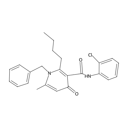 CCCCc1c(C(=O)Nc2ccccc2Cl)c(=O)cc(C)n1Cc1ccccc1